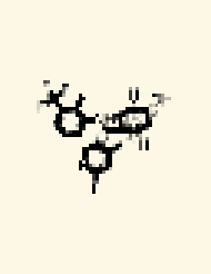 Cc1c(NC(=O)[C@@]2(Cc3ccnc(F)c3)C[C@H]3O[C@@H]2C[C@@H]3O)cccc1C(F)(F)F